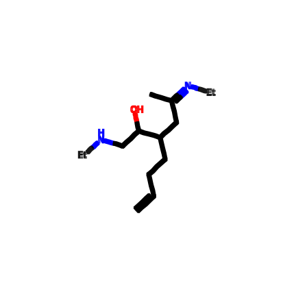 C=CCCC(C/C(C)=N\CC)C(O)CNCC